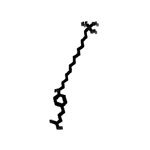 C[Si](C)(C)CCCCCCCCCCCCCCNc1ccc(CCCC(=O)O)cc1